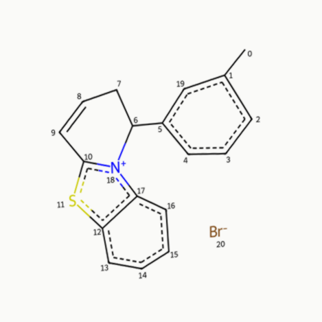 Cc1cccc(C2CC=Cc3sc4ccccc4[n+]32)c1.[Br-]